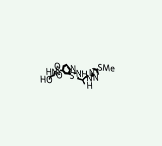 CSc1cnc(NCC(C)CNc2nc3ccc(S(=O)(=O)NCCO)cc3s2)nc1